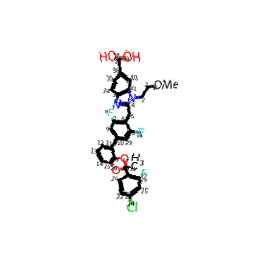 COCCn1c(Cc2c(F)cc(-c3cccc4c3O[C@](C)(c3ccc(Cl)cc3F)O4)cc2F)nc2ccc(C(O)O)cc21